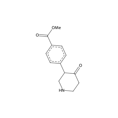 COC(=O)c1ccc(C2CNCCC2=O)cc1